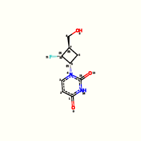 O=c1ccn([C@H]2C[C@H](CO)[C@H]2F)c(=O)[nH]1